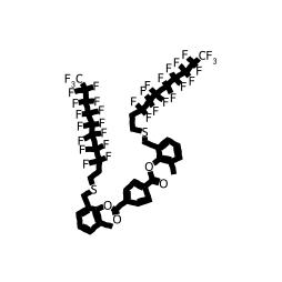 Cc1cccc(CSCCC(F)(F)C(F)(F)C(F)(F)C(F)(F)C(F)(F)C(F)(F)C(F)(F)C(F)(F)F)c1OC(=O)c1ccc(C(=O)Oc2c(C)cccc2CSCCC(F)(F)C(F)(F)C(F)(F)C(F)(F)C(F)(F)C(F)(F)C(F)(F)C(F)(F)F)cc1